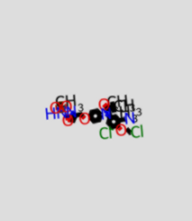 CC(C)(C)C(=O)N(c1ccc(OCc2coc(NS(C)(=O)=O)n2)cc1)c1cc(Cl)c(OCCCl)c(C#N)c1